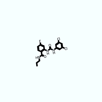 CCCNC(=O)c1ccc(F)cc1NC(=O)Nc1cc(Cl)cc(Cl)c1